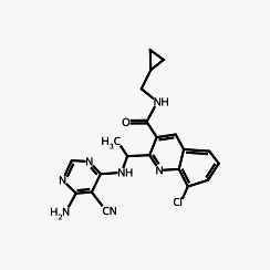 CC(Nc1ncnc(N)c1C#N)c1nc2c(Cl)cccc2cc1C(=O)NCC1CC1